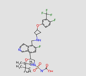 CC(C)(C)[Si](C)(C)OC(CNS(=O)(=O)NC(=O)O)c1cc(F)c(CNC2CC(Oc3ccc(F)c(C(F)(F)F)c3)C2)c2ccncc12